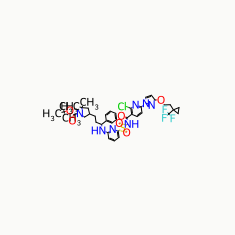 CC(C)(C)OC(=O)N1CC(CCC(Nc2cccc(S(=O)(=O)NC(=O)c3ccc(-n4ccc(OCCC5(C(F)(F)F)CC5)n4)nc3Cl)n2)c2ccccc2)CC1(C)C